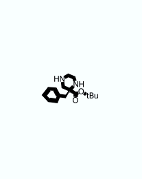 CC(C)(C)OC(=O)[C@]1(Cc2ccccc2)CNCCN1